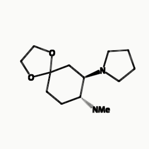 CN[C@@H]1CCC2(C[C@H]1N1CCCC1)OCCO2